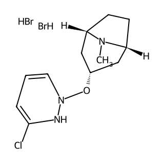 Br.Br.CN1[C@@H]2CC[C@H]1C[C@@H](ON1C=CC=C(Cl)N1)C2